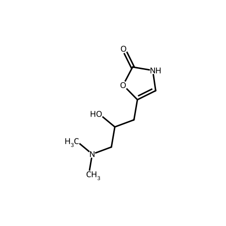 CN(C)CC(O)Cc1c[nH]c(=O)o1